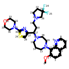 COc1ccc2cccnc2c1N1CCCN(C(CCN2CCC(F)(F)C2)c2csc(N3CCOCC3)n2)CC1